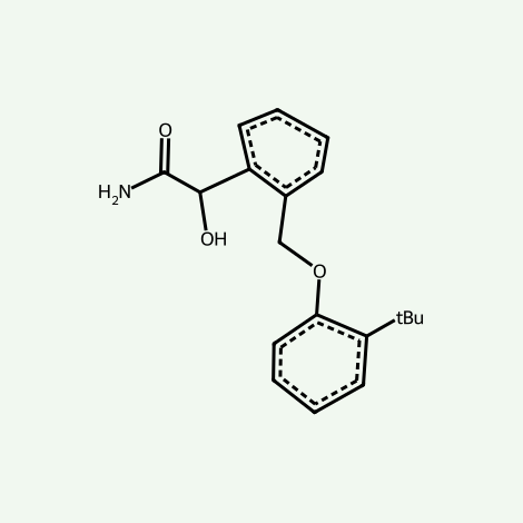 CC(C)(C)c1ccccc1OCc1ccccc1C(O)C(N)=O